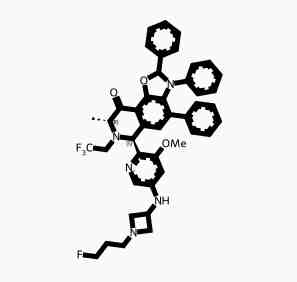 COc1cc(NC2CN(CCCF)C2)cnc1[C@@H]1c2cc(-c3ccccc3)c3c(c2C(=O)[C@@H](C)N1CC(F)(F)F)OC(c1ccccc1)N3c1ccccc1